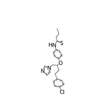 CCCC(=S)Nc1ccc(OC(CCc2ccc(Cl)cc2)Cn2ccnc2)cc1